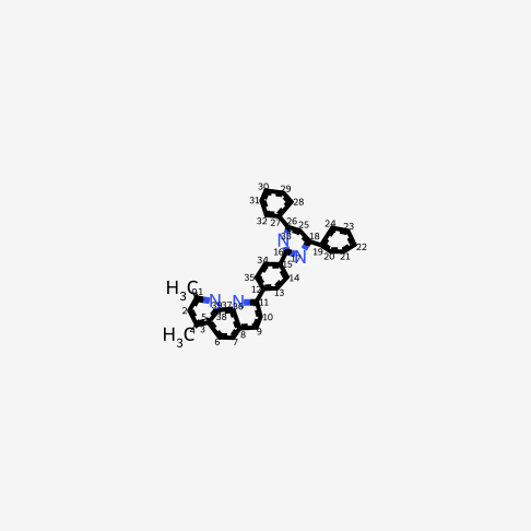 Cc1cc(C)c2ccc3ccc(-c4ccc(-c5nc(-c6ccccc6)cc(-c6ccccc6)n5)cc4)nc3c2n1